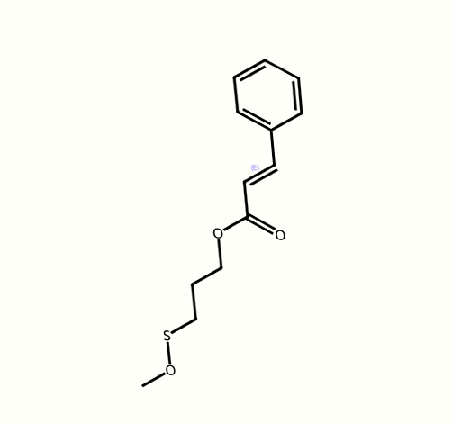 COSCCCOC(=O)/C=C/c1ccccc1